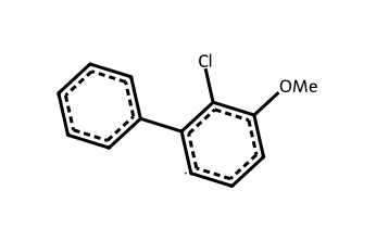 COc1cc[c]c(-c2ccccc2)c1Cl